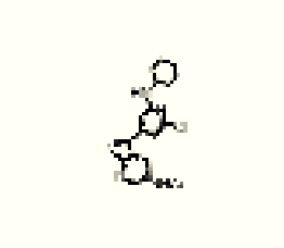 CC(=O)Nc1cnc2[nH]cc(-c3cc(Cl)nc(NC4CCCCC4)c3)c2c1